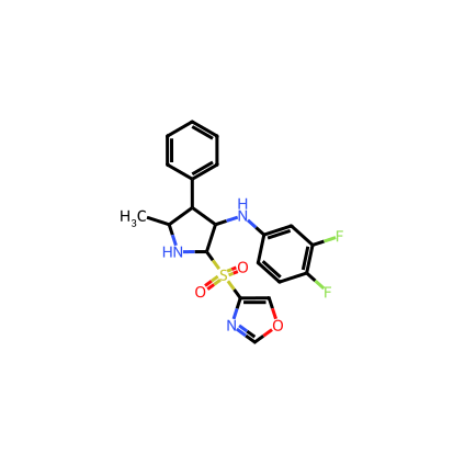 CC1NC(S(=O)(=O)c2cocn2)C(Nc2ccc(F)c(F)c2)C1c1ccccc1